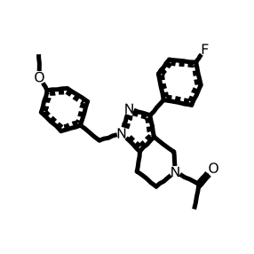 COc1ccc(Cn2nc(-c3ccc(F)cc3)c3c2CCN(C(C)=O)C3)cc1